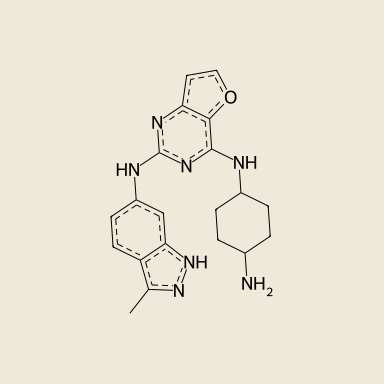 Cc1n[nH]c2cc(Nc3nc(NC4CCC(N)CC4)c4occc4n3)ccc12